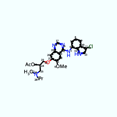 COc1cc2c(Nc3cccc4c(Cl)c[nH]c34)ncnc2cc1OCC(CN(C)C(C)C)OC(C)=O